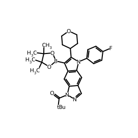 CC(C)(C)C(=O)n1ncc2cc3c(cc21)c(B1OC(C)(C)C(C)(C)O1)c(C1CCOCC1)n3-c1ccc(F)cc1